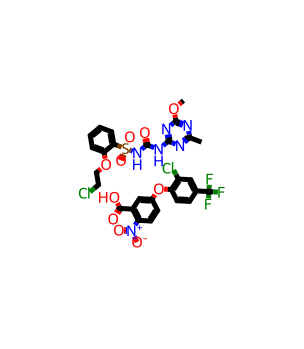 COc1nc(C)nc(NC(=O)NS(=O)(=O)c2ccccc2OCCCl)n1.O=C(O)c1cc(Oc2ccc(C(F)(F)F)cc2Cl)ccc1[N+](=O)[O-]